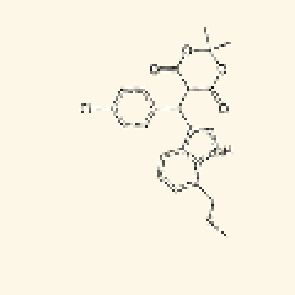 CSCc1cccc2c(C(c3ccc(Cl)cc3)C3C(=O)OC(C)(C)OC3=O)c[nH]c12